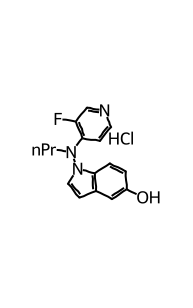 CCCN(c1ccncc1F)n1ccc2cc(O)ccc21.Cl